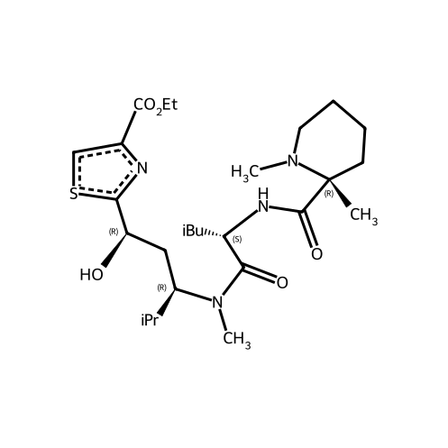 CCOC(=O)c1csc([C@H](O)C[C@H](C(C)C)N(C)C(=O)[C@@H](NC(=O)[C@@]2(C)CCCCN2C)C(C)CC)n1